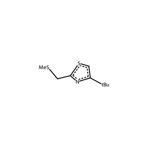 CSCc1nc(C(C)(C)C)cs1